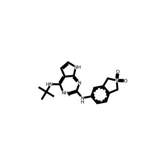 C=C(/N=C1/NC=C/C1=C(/N)NC(C)(C)C)Nc1ccc2c(c1)CS(=O)(=O)C2